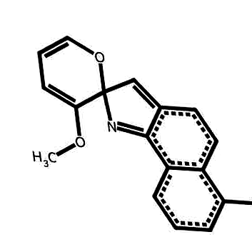 COC1=CC=COC12C=c1ccc3c(Br)cccc3c1=N2